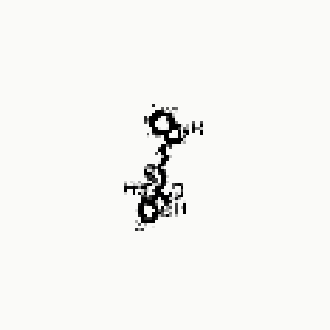 O=C(O)C(CCCCc1c[nH]c2ccccc12)(c1ccccc1)[PH](=O)O